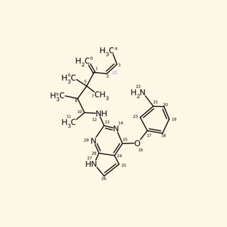 C=C(/C=C\C)C(C)(C)C(C)C(C)Nc1nc(Oc2cccc(N)c2)c2cc[nH]c2n1